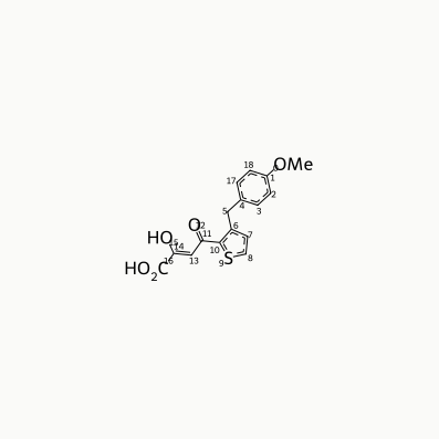 COc1ccc(Cc2ccsc2C(=O)C=C(O)C(=O)O)cc1